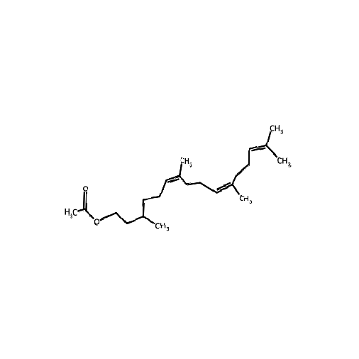 CC(=O)OCCC(C)CCC=C(C)CCC=C(C)CCC=C(C)C